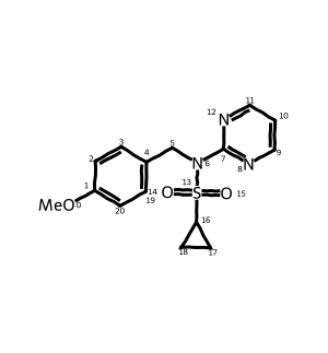 COc1ccc(CN(c2ncccn2)S(=O)(=O)C2CC2)cc1